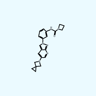 O=C(Nc1cccc(-n2cc3cc(N4CC5(CC5)C4)cnc3n2)c1)N1CCC1